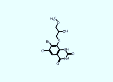 COCC(O)CSc1c(Br)c(Cl)cc2c(=O)[nH]c(=O)[nH]c12